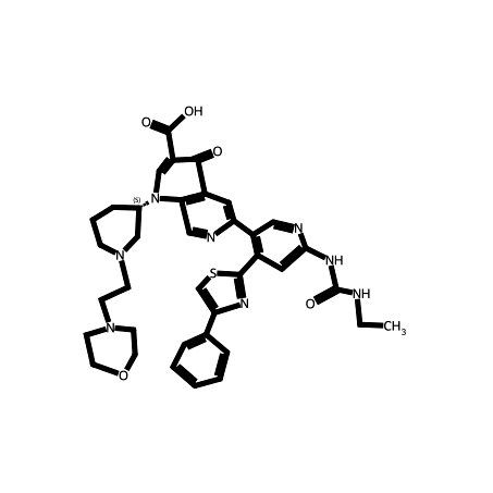 CCNC(=O)Nc1cc(-c2nc(-c3ccccc3)cs2)c(-c2cc3c(=O)c(C(=O)O)cn([C@H]4CCCN(CCN5CCOCC5)C4)c3cn2)cn1